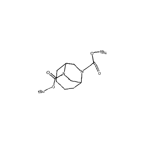 CC(C)(C)OC(=O)N1CC2CCCCC1CN2C(=O)OC(C)(C)C